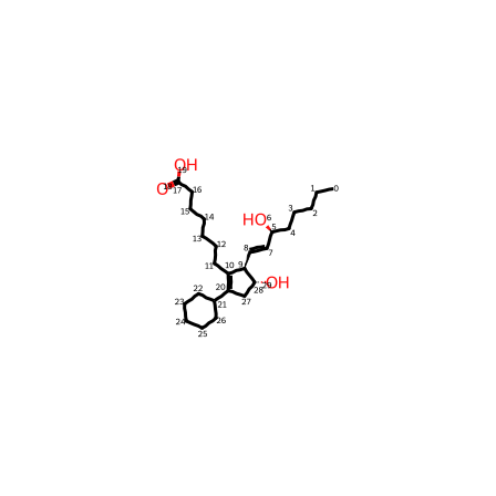 CCCCC[C@H](O)C=C[C@@H]1C(CCCCCCC(=O)O)=C(C2CCCCC2)C[C@H]1O